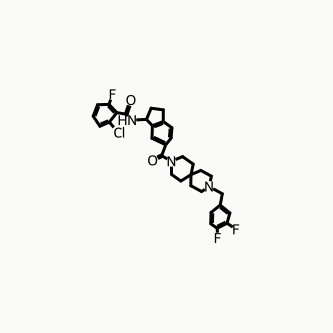 O=C(NC1CCc2ccc(C(=O)N3CCC4(CCN(Cc5ccc(F)c(F)c5)CC4)CC3)cc21)c1c(F)cccc1Cl